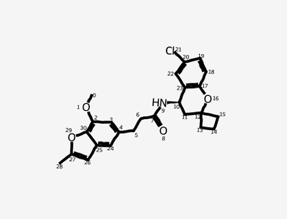 COc1cc(CCC(=O)N[C@@H]2CC3(CCC3)Oc3ccc(Cl)cc32)cc2cc(C)oc12